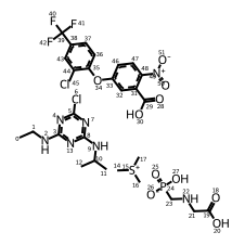 CCNc1nc(Cl)nc(NC(C)C)n1.C[S+](C)C.O=C(O)CNCP(=O)([O-])O.O=C(O)c1cc(Oc2ccc(C(F)(F)F)cc2Cl)ccc1[N+](=O)[O-]